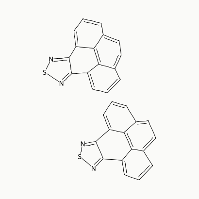 c1cc2ccc3cccc4c5nsnc5c(c1)c2c34.c1cc2ccc3cccc4c5nsnc5c(c1)c2c34